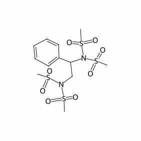 CS(=O)(=O)N(CC(c1ccccc1)N(S(C)(=O)=O)S(C)(=O)=O)S(C)(=O)=O